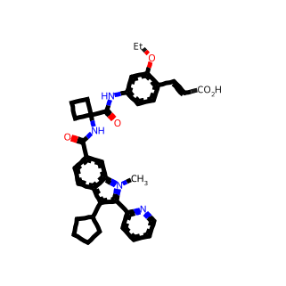 CCOc1cc(NC(=O)C2(NC(=O)c3ccc4c(C5CCCC5)c(-c5ccccn5)n(C)c4c3)CCC2)ccc1C=CC(=O)O